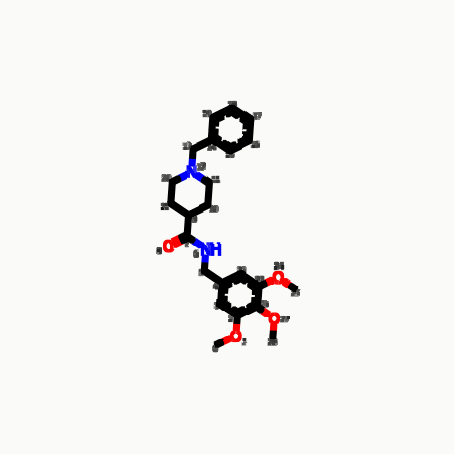 COc1cc(CNC(=O)C2CCN(Cc3ccccc3)CC2)cc(OC)c1OC